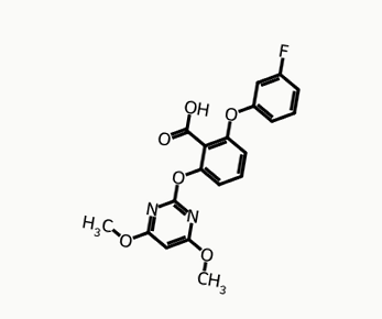 COc1cc(OC)nc(Oc2cccc(Oc3cccc(F)c3)c2C(=O)O)n1